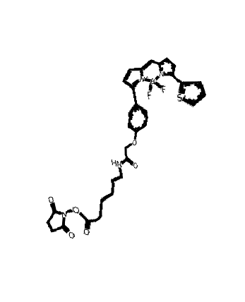 O=C(COc1ccc(C2=[N+]3C(=Cc4ccc(-c5cccs5)n4[B-]3(F)F)C=C2)cc1)NCCCCCC(=O)ON1C(=O)CCC1=O